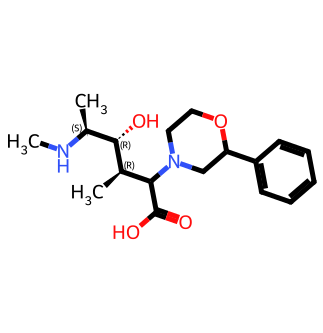 CN[C@@H](C)[C@H](O)[C@H](C)C(C(=O)O)N1CCOC(c2ccccc2)C1